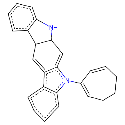 C1=CC(n2c3c(c4ccccc42)=CC2c4ccccc4NC2C=3)=CCCC1